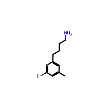 Cc1cc(Br)cc(CCCCN)c1